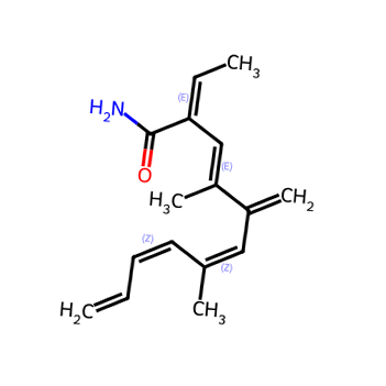 C=C/C=C\C(C)=C/C(=C)/C(C)=C/C(=C\C)C(N)=O